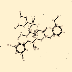 CCCC(CCC)S(=O)(=O)C[C@@H](NC(=O)COC)C(=O)N(Cc1cccc(CC)c1)C[C@@H](O)[C@@H](N)Cc1cc(F)cc(F)c1